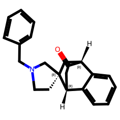 O=C1C[C@@H]2c3ccccc3[C@H]1C[C@@]21CCN(Cc2ccccc2)C1